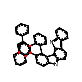 c1ccc(-c2ccccc2-c2ccccc2-c2c(-c3cccc4ccccc34)ccc3c2-c2c4c(ccc2=N3)=c2ccccc2=N4)cc1